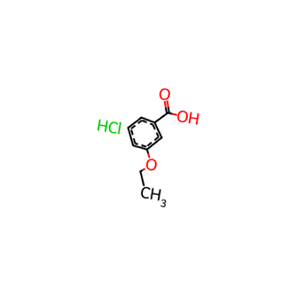 CCOc1cccc(C(=O)O)c1.Cl